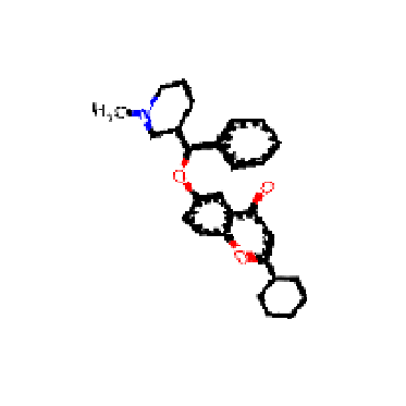 CN1CCCC(C(Oc2ccc3oc(C4CCCCC4)cc(=O)c3c2)c2ccccc2)C1